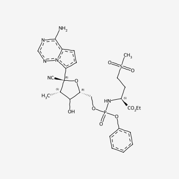 CCOC(=O)[C@H](CCS(C)(=O)=O)NP(=O)(OC[C@H]1O[C@@](C#N)(c2ccc3c(N)ncnn23)[C@@H](C)C1O)Oc1ccccc1